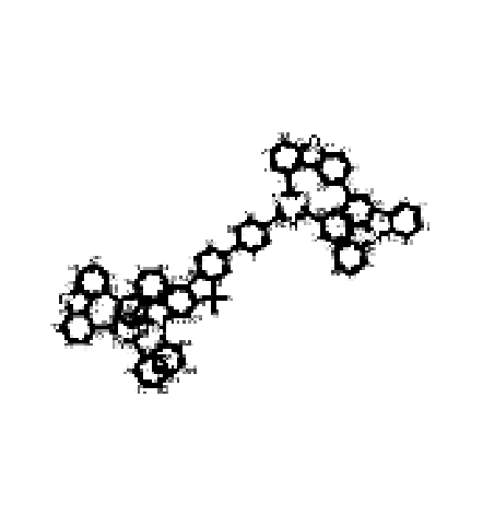 CC1(C)c2cc(-c3ccc(-c4nc(-c5ccccc5)nc(-c5cccc6oc7ccc(-c8cc9c%10c(c8)c8ccccc8n%10C8CC=CC=C98)cc7c56)n4)cc3)ccc2-c2cc3c4cc(-c5cccc6oc7cccc(-c8nc(-c9ccccc9)nc(-c9ccccc9)n8)c7c56)ccc4n(-c4ccccc4)c3cc21